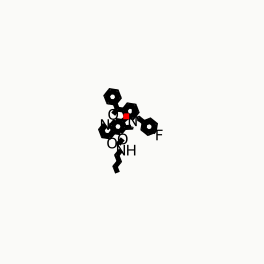 CCCCNC(=O)Oc1c2c(c(OC(c3ccccc3)c3ccccc3)c3ncccc13)C(=O)N(Cc1ccc(F)cc1)C2